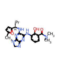 Cc1ccc([C@H](Nc2nc3c(nc2Nc2cccc(C(=O)N(C)C)c2O)=NCN=3)C(C)C)o1